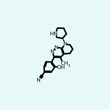 Cc1c(-c2ccc(C#N)cc2O)nnc2c1CCCN2[C@@H]1CCCNC1